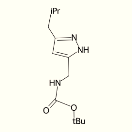 CC(C)Cc1cc(CNC(=O)OC(C)(C)C)[nH]n1